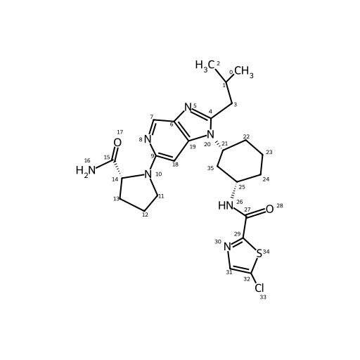 CC(C)Cc1nc2cnc(N3CCC[C@@H]3C(N)=O)cc2n1[C@@H]1CCC[C@H](NC(=O)c2ncc(Cl)s2)C1